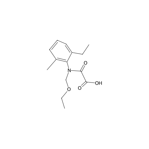 CCOCN(C(=O)C(=O)O)c1c(C)cccc1CC